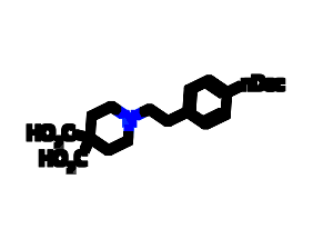 CCCCCCCCCCc1ccc(CCN2CCC(C(=O)O)(C(=O)O)CC2)cc1